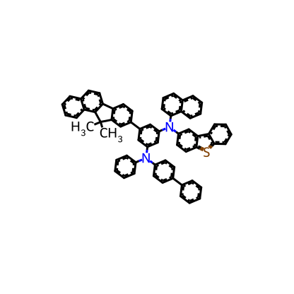 CC1(C)c2cc(-c3cc(N(c4ccccc4)c4ccc(-c5ccccc5)cc4)cc(N(c4ccc5sc6ccccc6c5c4)c4cccc5ccccc45)c3)ccc2-c2ccc3ccccc3c21